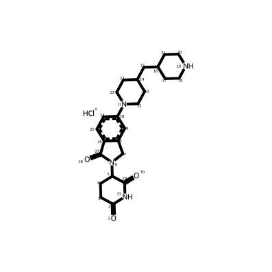 Cl.O=C1CCC(N2Cc3cc(N4CCC(CC5CCNCC5)CC4)ccc3C2=O)C(=O)N1